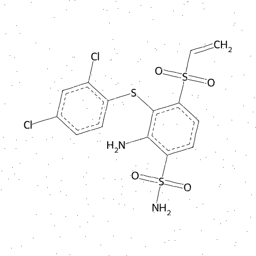 C=CS(=O)(=O)c1ccc(S(N)(=O)=O)c(N)c1Sc1ccc(Cl)cc1Cl